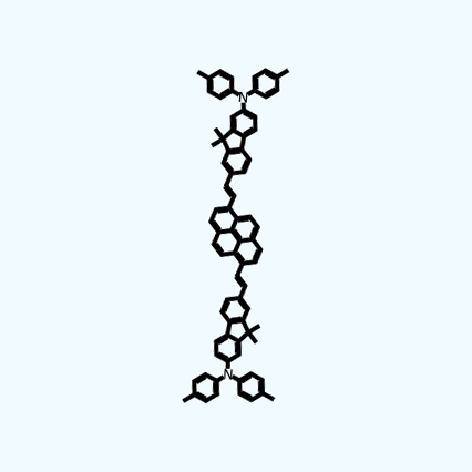 Cc1ccc(N(c2ccc(C)cc2)c2ccc3c(c2)C(C)(C)c2cc(/C=C/c4ccc5ccc6c(/C=C/c7ccc8c(c7)C(C)(C)c7cc(N(c9ccc(C)cc9)c9ccc(C)cc9)ccc7-8)ccc7ccc4c5c76)ccc2-3)cc1